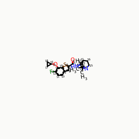 CC1(C)[C@H](NC(=O)c2cc3ccc(F)c(OC4CC4)c3s2)C2CCN1CC2